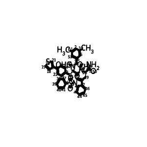 Cc1cc(C)cc(C(=O)N(C=O)[C@@H](Cc2ccc(-c3ccsc3)cc2)C(=O)N(C)[C@@H](Cc2cn(S(=O)(=O)c3ccccc3)c3ccccc23)C(N)=O)c1